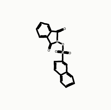 O=C1c2ccccc2C(=O)N1OS(=O)(=O)c1ccc2ccccc2c1